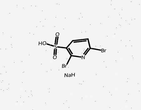 O=S(=O)(O)c1ccc(Br)nc1Br.[NaH]